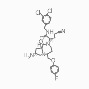 N#CCC[C@H](C(=O)NCc1ccc(Cl)c(Cl)c1)N1CCC(COc2ccc(F)cc2)N2C[C@H](N)C[C@H]2C1=O